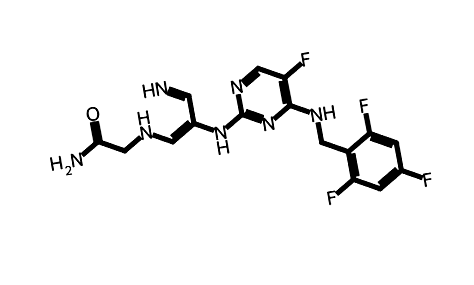 N=C/C(=C\NCC(N)=O)Nc1ncc(F)c(NCc2c(F)cc(F)cc2F)n1